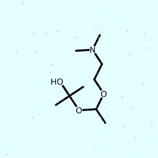 CC(OCCN(C)C)OC(C)(C)O